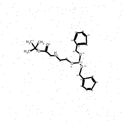 CC(C)(C)OC(=O)CNCCOP(OCc1ccccc1)OCc1ccccc1